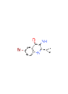 N=C1C(=O)c2cc(Br)ccc2N=C1C1CC1